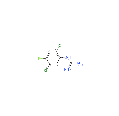 N=C(N)Nc1cc(Cl)c(F)cc1Cl